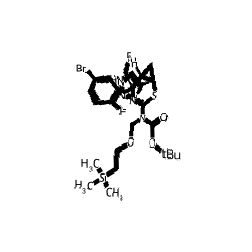 CC(C)(C)OC(=O)N(COCC[Si](C)(C)C)C1=N[C@](CF)(c2cc(Br)ccc2F)[C@@H]2C[C@]2(c2c[nH]nn2)S1